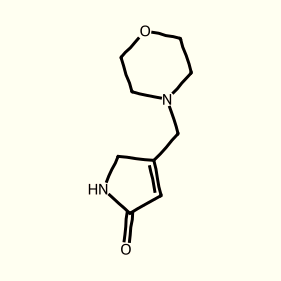 O=C1C=C(CN2CCOCC2)CN1